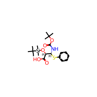 CC(C)(C)OC(=O)N[C@H](Sc1ccccc1)[C@H](O[Si](C)(C)C(C)(C)C)C(=O)O